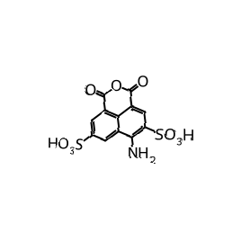 Nc1c(S(=O)(=O)O)cc2c3c(cc(S(=O)(=O)O)cc13)C(=O)OC2=O